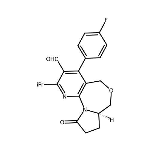 CC(C)c1nc2c(c(-c3ccc(F)cc3)c1C=O)COC[C@H]1CCC(=O)N21